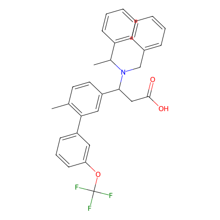 Cc1ccc(C(CC(=O)O)N(Cc2ccccc2)C(C)c2ccccc2)cc1-c1cccc(OC(F)(F)F)c1